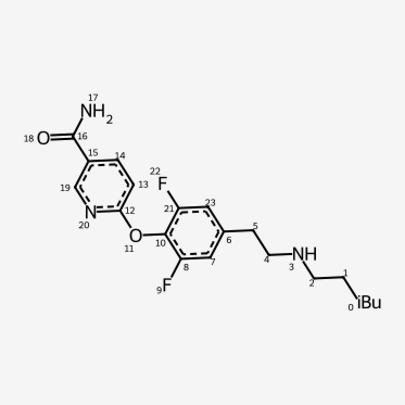 CCC(C)CCNCCc1cc(F)c(Oc2ccc(C(N)=O)cn2)c(F)c1